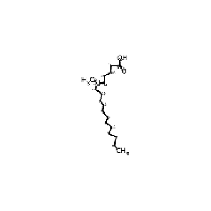 CCCCCCCCCCCCN(C)CCCCC(=O)O